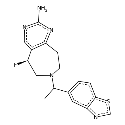 CC(c1ccc2scnc2c1)N1CCc2nc(N)ncc2[C@H](F)C1